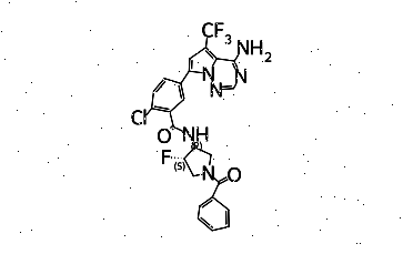 Nc1ncnn2c(-c3ccc(Cl)c(C(=O)N[C@@H]4CN(C(=O)c5ccccc5)C[C@@H]4F)c3)cc(C(F)(F)F)c12